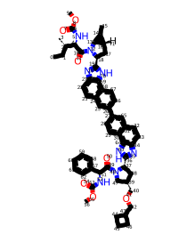 CC[C@H](C)[C@H](NC(=O)OC)C(=O)N1C2=C(C)[C@@H]2C[C@H]1c1nc2ccc3cc(-c4ccc5c(ccc6nc([C@@H]7C[C@H](COCC8CCC8)CN7C(=O)[C@H](NC(=O)OC)c7ccccc7)[nH]c65)c4)ccc3c2[nH]1